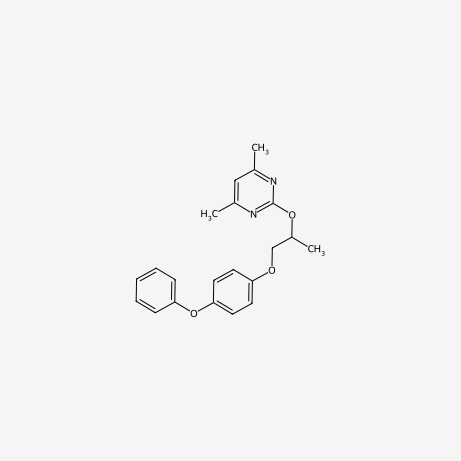 Cc1cc(C)nc(OC(C)COc2ccc(Oc3ccccc3)cc2)n1